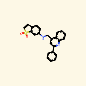 O=S1(=O)C=Cc2ccc(NCc3cc(-c4ccccc4)nc4ccccc34)cc21